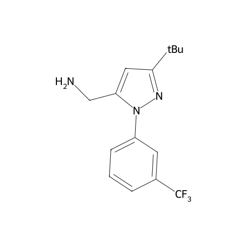 CC(C)(C)c1cc(CN)n(-c2cccc(C(F)(F)F)c2)n1